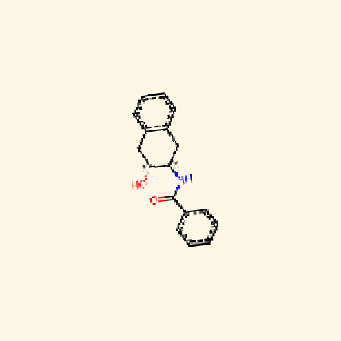 O=C(N[C@@H]1Cc2ccccc2C[C@H]1O)c1ccccc1